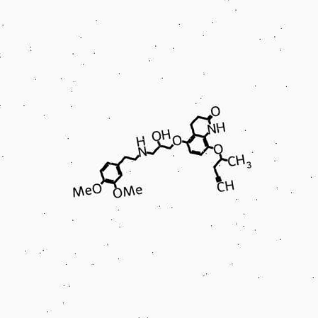 C#CCC(C)Oc1ccc(OCC(O)CNCCc2ccc(OC)c(OC)c2)c2c1NC(=O)CC2